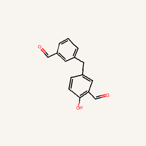 O=Cc1cccc(Cc2ccc(O)c(C=O)c2)c1